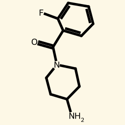 NC1CCN(C(=O)c2ccccc2F)CC1